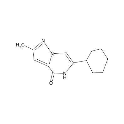 Cc1cc2c(=O)[nH]c(C3CCCCC3)cn2n1